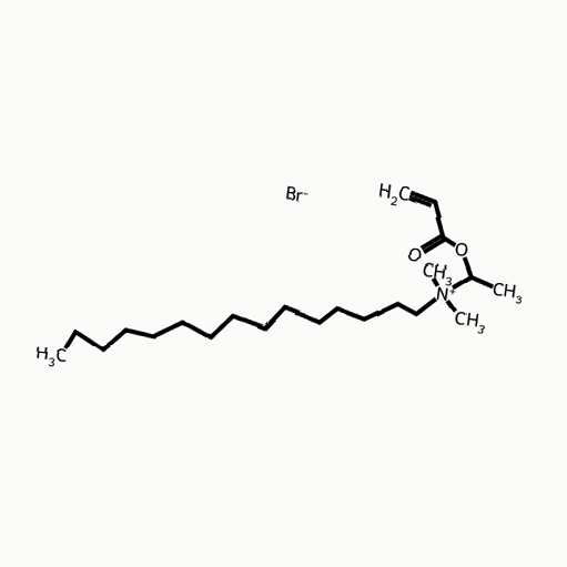 C=CC(=O)OC(C)[N+](C)(C)CCCCCCCCCCCCCCC.[Br-]